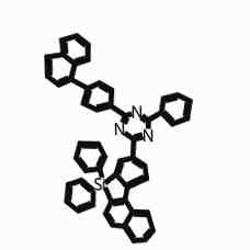 c1ccc(-c2nc(-c3ccc(-c4cccc5ccccc45)cc3)nc(-c3ccc4c(c3)[Si](c3ccccc3)(c3ccccc3)c3ccc5ccccc5c3-4)n2)cc1